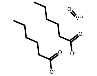 CCCCCC(=O)[O-].CCCCCC(=O)[O-].[O]=[V+2]